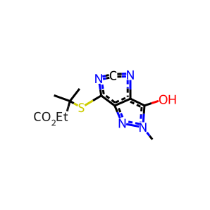 CCOC(=O)C(C)(C)Sc1ncnc2c(O)n(C)nc12